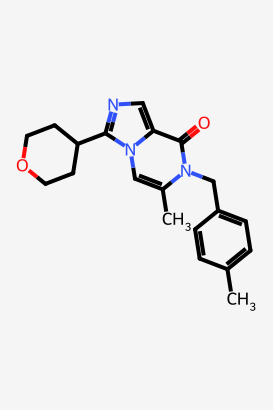 Cc1ccc(Cn2c(C)cn3c(C4CCOCC4)ncc3c2=O)cc1